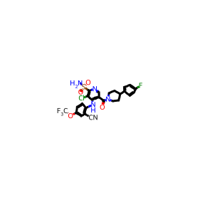 N#Cc1cc(OC(F)(F)F)ccc1Nc1c(C(=O)N2CCC(c3ccc(F)cc3)CC2)cnc(S(N)(=O)=O)c1Cl